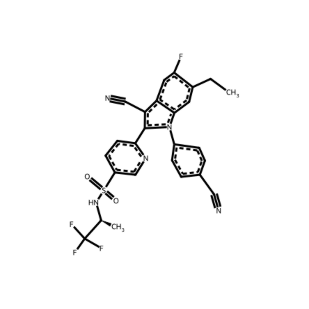 CCc1cc2c(cc1F)c(C#N)c(-c1ccc(S(=O)(=O)N[C@@H](C)C(F)(F)F)cn1)n2-c1ccc(C#N)cc1